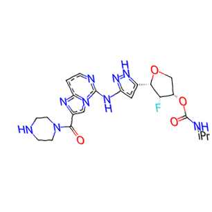 CC(C)NC(=O)O[C@H]1CO[C@@H](c2cc(Nc3nccc4nc(C(=O)N5CCNCC5)cn34)n[nH]2)[C@H]1F